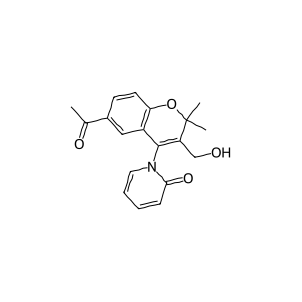 CC(=O)c1ccc2c(c1)C(n1ccccc1=O)=C(CO)C(C)(C)O2